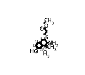 CCOC(=O)CCS[C@H]1Cc2ccc(O)cc2C(C)(C)[C@@H]1N